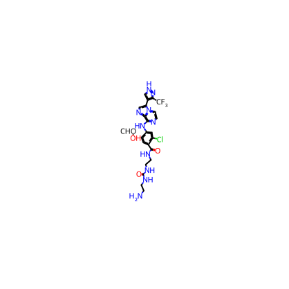 NCCNC(=O)NCCNC(=O)c1ccc(Nc2nccn3c(-c4c[nH]nc4C(F)(F)F)cnc23)cc1Cl.O=CO